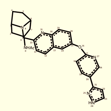 CC(=O)NC1CC2CCC(C1)N2Cc1ccc2cc(Oc3ccc(-c4cc[nH]n4)cn3)ccc2n1